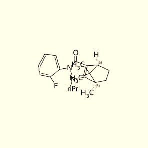 CCCn1c2c(c(=O)n1-c1ccccc1F)[C@H]1CC[C@]2(C)C1(C)C